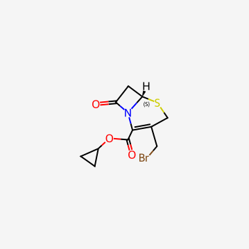 O=C(OC1CC1)C1=C(CBr)CS[C@H]2CC(=O)N12